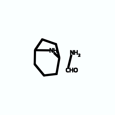 C1CC2CCC(C1)N2.NC=O